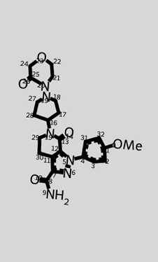 COc1ccc(-n2nc(C(N)=O)c3c2C(=O)N(C2CCN(N4CCOCC4=O)CC2)CC3)cc1